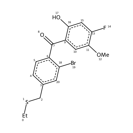 CCSCc1ccc(C(=O)c2cc(OC)c(F)cc2O)c(Br)c1